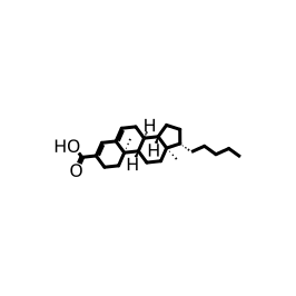 CCCCC[C@H]1CC[C@H]2[C@@H]3CC=C4C=C(C(=O)O)CC[C@]4(C)[C@H]3CC[C@]12C